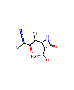 CC(=O)C(=[N+]=[N-])C(=O)[C@H](C)[C@H]1NC(=O)[C@@H]1[C@@H](C)O